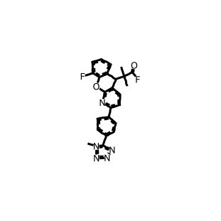 Cn1nnnc1-c1ccc(-c2ccc3c(n2)Oc2c(F)cccc2C3C(C)(C)C(=O)F)cc1